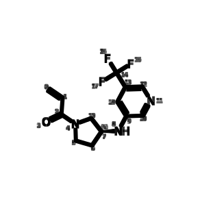 C=CC(=O)N1CC[C@H](Nc2cncc(C(F)(F)F)c2)C1